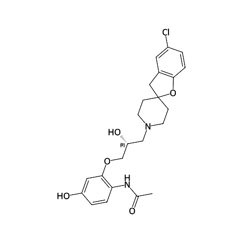 CC(=O)Nc1ccc(O)cc1OC[C@H](O)CN1CCC2(CC1)Cc1cc(Cl)ccc1O2